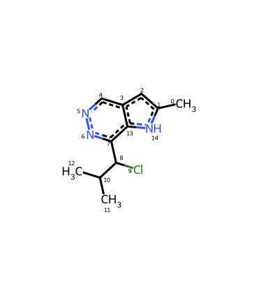 Cc1cc2cnnc(C(Cl)C(C)C)c2[nH]1